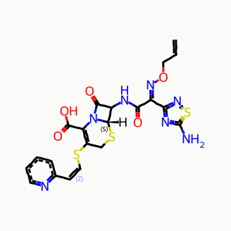 C=CCON=C(C(=O)NC1C(=O)N2C(C(=O)O)=C(S/C=C\c3ccccn3)CS[C@@H]12)c1nsc(N)n1